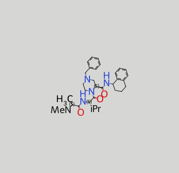 CN[C@@H](C)C(=O)N[C@H](C(=O)N1CCN(Cc2ccccc2)C[C@H]1C(=O)NC1CCCc2ccccc21)C(C)C